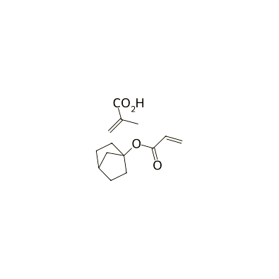 C=C(C)C(=O)O.C=CC(=O)OC12CCC(CC1)C2